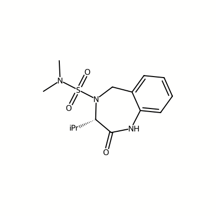 CC(C)[C@H]1C(=O)Nc2ccccc2CN1S(=O)(=O)N(C)C